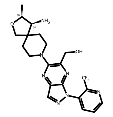 C[C@@H]1OCC2(CCN(c3nc4cnn(-c5cccnc5C(F)(F)F)c4nc3CO)CC2)[C@@H]1N